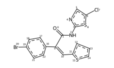 O=C(Nc1ncc(Cl)s1)C(=Cc1cccs1)c1ccc(Br)cc1